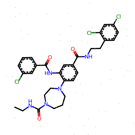 CCNC(=O)N1CCCN(c2ccc(C(=O)NCCc3ccc(Cl)cc3Cl)cc2NC(=O)c2cccc(Cl)c2)CC1